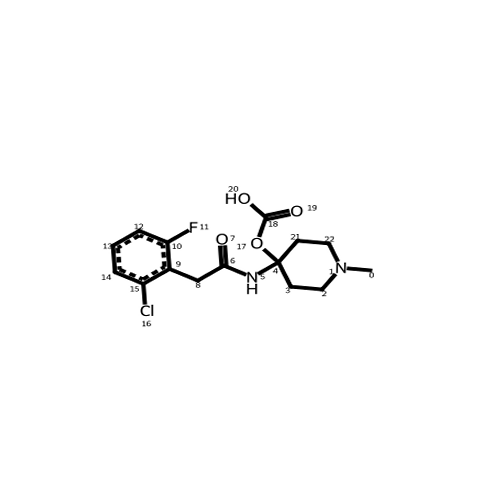 CN1CCC(NC(=O)Cc2c(F)cccc2Cl)(OC(=O)O)CC1